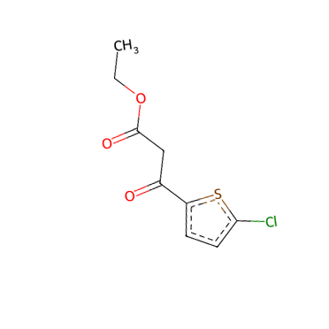 CCOC(=O)CC(=O)c1ccc(Cl)s1